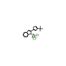 CC(C)(C)C1=CCC(C2=Cc3ccccc3[CH]2[Zr+2])=C1.[Cl-].[Cl-]